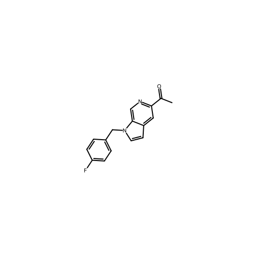 CC(=O)c1cc2ccn(Cc3ccc(F)cc3)c2cn1